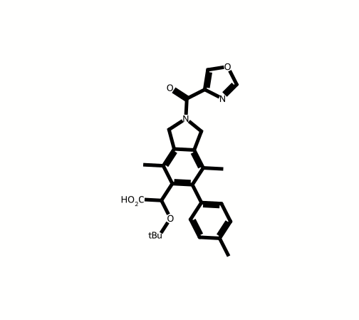 Cc1ccc(-c2c(C)c3c(c(C)c2C(OC(C)(C)C)C(=O)O)CN(C(=O)c2cocn2)C3)cc1